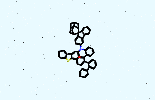 c1ccc(-c2ccccc2-c2ccccc2-c2ccccc2N(c2ccc3c(c2)-c2ccccc2C32C3CC4CC(C3)CC2C4)c2ccc3sc4ccccc4c3c2)cc1